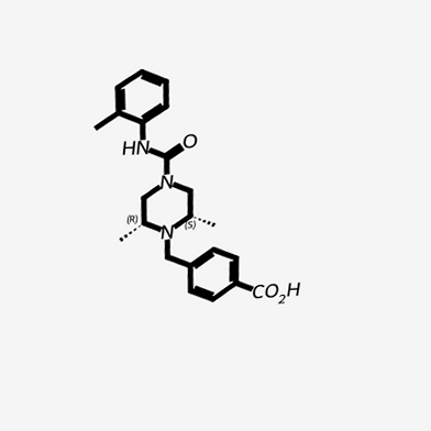 Cc1ccccc1NC(=O)N1C[C@@H](C)N(Cc2ccc(C(=O)O)cc2)[C@@H](C)C1